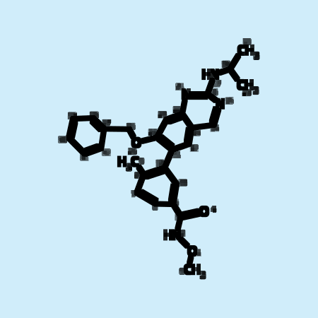 CONC(=O)c1ccc(C)c(-c2cc3cnc(NC(C)C)nc3cc2OCc2ccccc2)c1